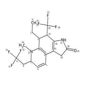 CCC1C2=C(C=CC(CC(F)(F)F)N2C)C2=C(NC(=O)C2)C1C(F)(F)F